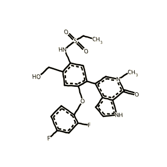 CCS(=O)(=O)Nc1cc(-c2cn(C)c(=O)c3[nH]ccc23)c(Oc2ccc(F)cc2F)cc1CO